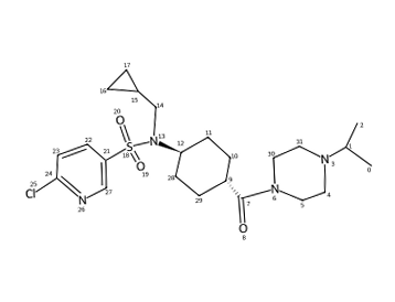 CC(C)N1CCN(C(=O)[C@H]2CC[C@H](N(CC3CC3)S(=O)(=O)c3ccc(Cl)nc3)CC2)CC1